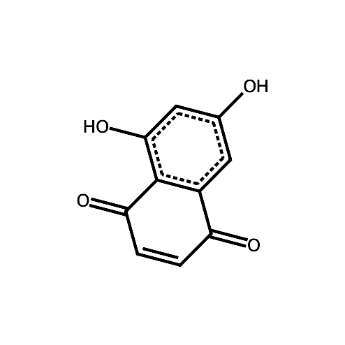 O=C1C=CC(=O)c2c(O)cc(O)cc21